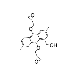 CC1=CCc2c(c(OCC3CO3)c3c(CO)cc(C)cc3c2OCC2CO2)C1